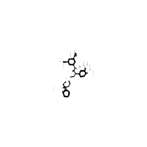 COC(C(=O)C(CCN1CCC(O)(c2ccccc2)CC1)c1ccc(Cl)c(Cl)c1)c1cc(C(F)(F)F)cc(C(F)(F)F)c1